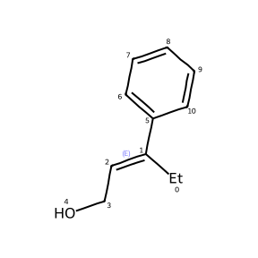 CC/C(=C\CO)c1ccccc1